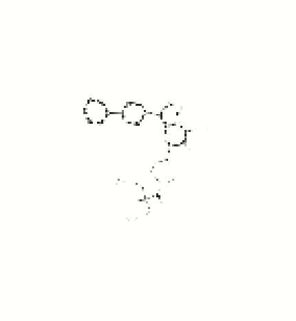 COCC(O)(COC)C(=O)N1CCC(c2nc3c(-c4ccc(-c5ccccc5)nc4)cnn3c(N)c2C(C)=O)CC1